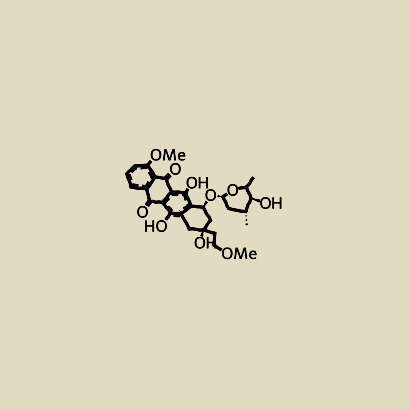 COCC[C@]1(O)Cc2c(O)c3c(c(O)c2[C@@H](O[C@H]2C[C@@H](C)[C@H](O)C(C)O2)C1)C(=O)c1c(OC)cccc1C3=O